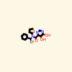 CCC(c1ccccc1)N(C(=O)c1ncnc(O)c1O)c1cccs1